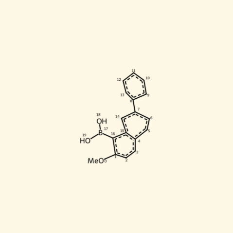 COc1ccc2ccc(-c3ccccc3)cc2c1B(O)O